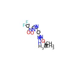 C[Si](C)(C)CCOCc1nc(-c2ccc(-c3cnn4ccc(N5C(=O)OC[C@H]5c5ccc(F)c(F)c5)nc34)cc2)n[nH]1